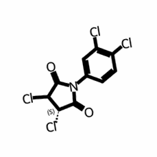 O=C1C(Cl)[C@@H](Cl)C(=O)N1c1ccc(Cl)c(Cl)c1